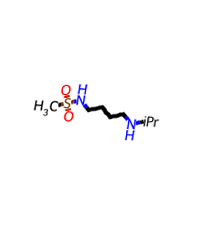 CC(C)NCCCCNS(C)(=O)=O